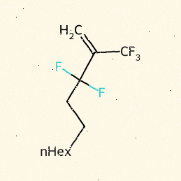 C=C(C(F)(F)F)C(F)(F)CCCCCCCC